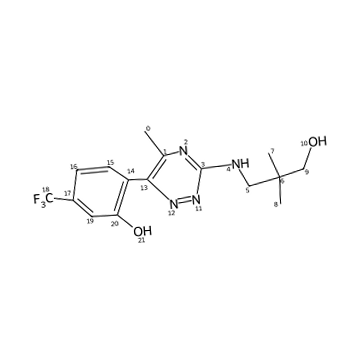 Cc1nc(NCC(C)(C)CO)nnc1-c1ccc(C(F)(F)F)cc1O